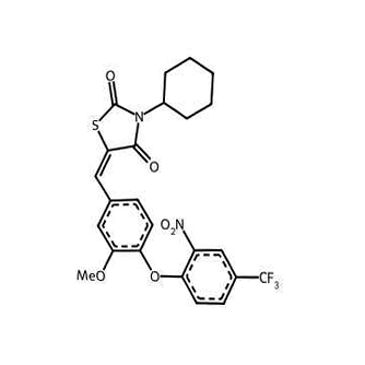 COc1cc(C=C2SC(=O)N(C3CCCCC3)C2=O)ccc1Oc1ccc(C(F)(F)F)cc1[N+](=O)[O-]